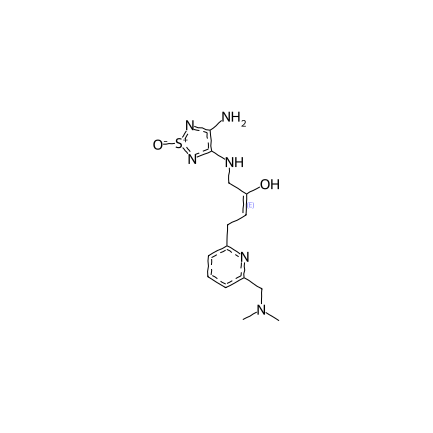 CN(C)Cc1cccc(C/C=C(/O)CNc2n[s+]([O-])nc2N)n1